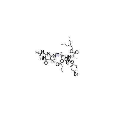 CCCC(=O)OC[C@]1(CO[P@@](=O)(N[C@@H](C)C(=O)OCC(CCC)CCC)Oc2ccc(Br)cc2)C/C1=C/n1cnc2c(=O)[nH]c(N)nc21